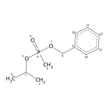 CC(C)OP(C)(=O)OCc1ccccc1